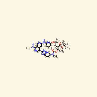 CNc1ncc(-c2nc3ccc(N(C)C(=O)OC(C)(C)C)cn3n2)c2cc(Nc3cccc(OC(C)CCC(=O)OC(C)(C)C)n3)ncc12